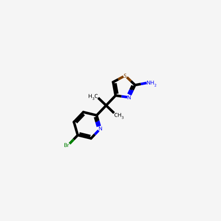 CC(C)(c1ccc(Br)cn1)c1csc(N)n1